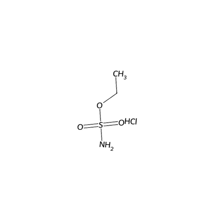 CCOS(N)(=O)=O.Cl